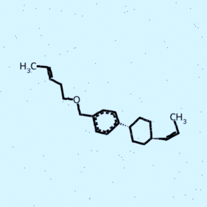 C/C=C\[C@H]1CC[C@H](c2ccc(COCC/C=C/C)cc2)CC1